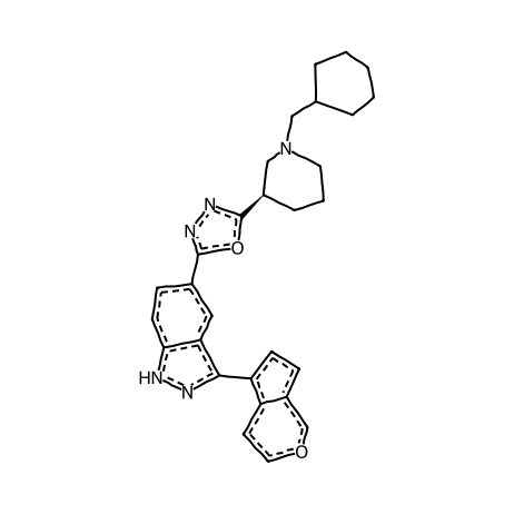 c1cc2c(-c3n[nH]c4ccc(-c5nnc([C@@H]6CCCN(CC7CCCCC7)C6)o5)cc34)ccc-2co1